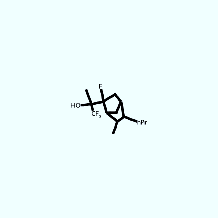 CCCC1C2CC(C1C)C(F)(C(C)(O)C(F)(F)F)C2